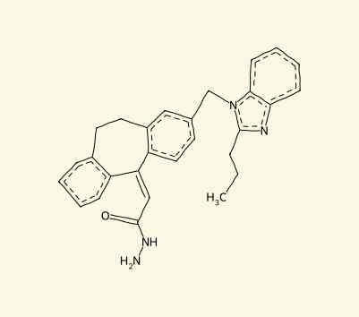 CCCc1nc2ccccc2n1Cc1ccc2c(c1)CCc1ccccc1C2=CC(=O)NN